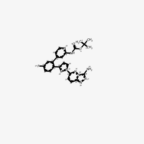 CC(C)(C)OC(=O)Nc1cc(-c2cc(F)ccc2-c2ccn(-c3ccc4nnc(N)n4n3)n2)ccn1